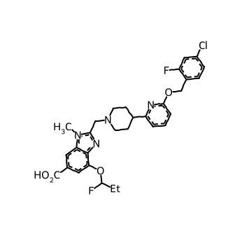 CCC(F)Oc1cc(C(=O)O)cc2c1nc(CN1CCC(c3cccc(OCc4ccc(Cl)cc4F)n3)CC1)n2C